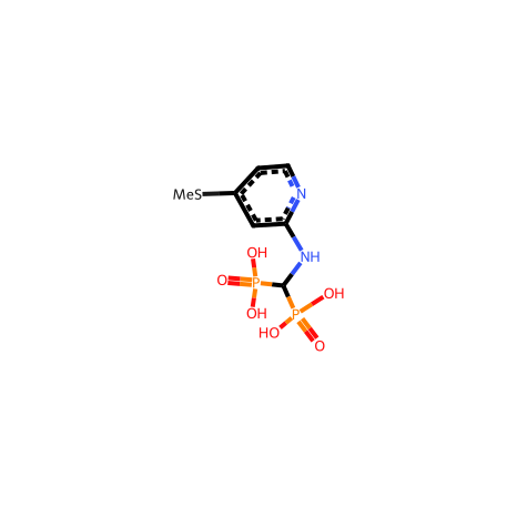 CSc1ccnc(NC(P(=O)(O)O)P(=O)(O)O)c1